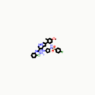 COc1ccc(-c2cc3c(N[C@@H]4CC[C@H](NS(=O)(=O)c5ccc(F)cc5)C4)c(/C(N)=N/c4ccccc4Cl)cnn3c2)c(C)c1